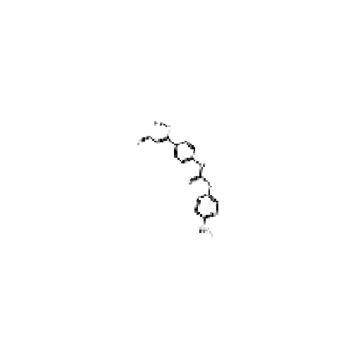 O=C(Oc1ccc(/C(=C/C=S)SS)cc1)Oc1ccc([N+](=O)[O-])cc1